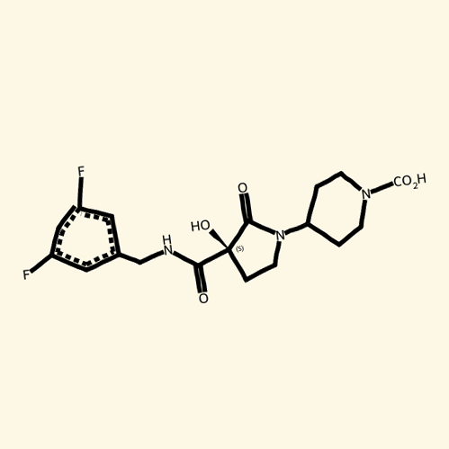 O=C(O)N1CCC(N2CC[C@](O)(C(=O)NCc3cc(F)cc(F)c3)C2=O)CC1